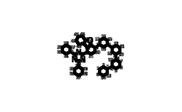 c1ccc(-c2cccc(-c3cccc(-c4cccc(-c5ccc(-c6nc(-c7ccccc7)nc(-c7ccccc7)n6)c6c5oc5ccccc56)c4)c3)c2)cc1